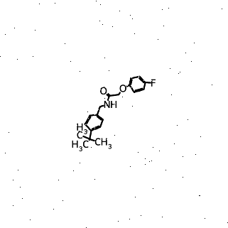 CC(C)(C)c1ccc(CNC(=O)COc2ccc(F)cc2)cc1